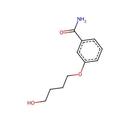 NC(=O)c1cccc(OCCCCO)c1